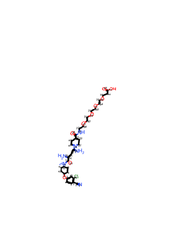 N#Cc1ccc(OC2CCC(NC(=O)/C(N)=C/C=C(\N)N3CCC(C(=O)NCCOCCOCCOCCOCCC(=O)O)CC3)CC2)cc1Cl